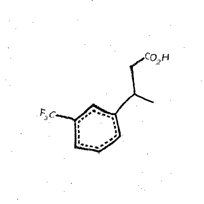 CC(CC(=O)O)c1c[c]cc(C(F)(F)F)c1